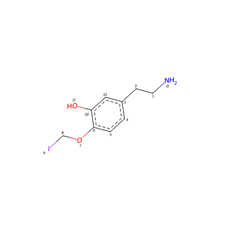 NCCc1ccc(OCI)c(O)c1